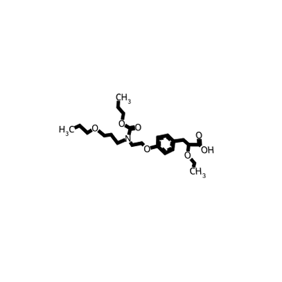 CCCOCCCN(CCOc1ccc(CC(OCC)C(=O)O)cc1)C(=O)OCCC